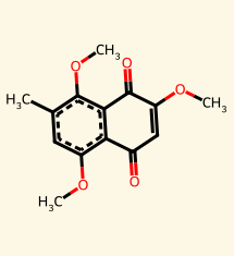 COC1=CC(=O)c2c(OC)cc(C)c(OC)c2C1=O